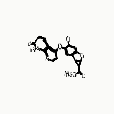 COC(=O)C1C2Oc3cc(Cl)c(Oc4ccnc5c4CCC(=O)N5)cc3C21